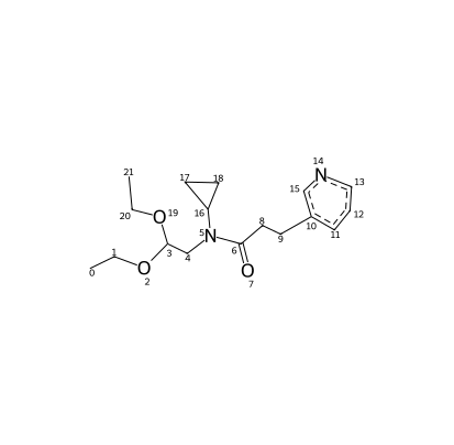 CCOC(CN(C(=O)CCc1cccnc1)C1CC1)OCC